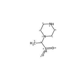 CC(N1CCNCC1)[SH](=O)=O